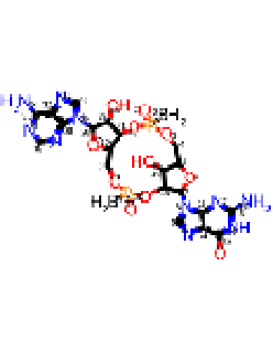 BP1(=O)OCC2OC(n3cnc4c(=O)[nH]c(N)nc43)C(OP(B)(=O)OCC3OC(n4cnc5c(N)ncnc54)C(O)C3O1)C2O